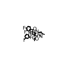 CC(=O)OC1(Cn2nc(C)cc2N)CN(C(=O)c2ccc(F)c(F)c2Nc2ccc(I)cc2F)C1